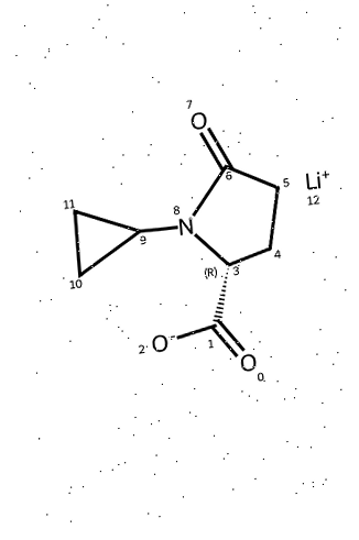 O=C([O-])[C@H]1CCC(=O)N1C1CC1.[Li+]